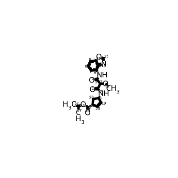 COC(C(=O)Nc1cccc2ocnc12)C(=O)N[C@H]1C=C[C@@H](C(=O)OC(C)C)C1